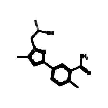 Cc1ccc(-c2cc(C)n(C[C@H](C)O)n2)cc1C(N)=O